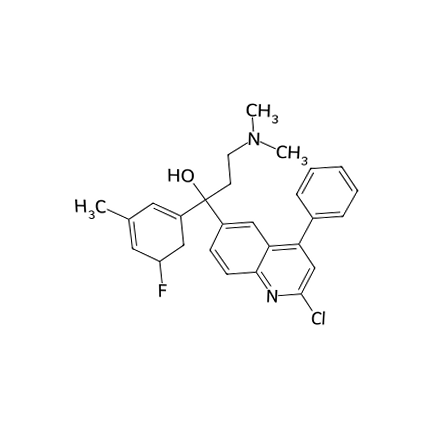 CC1=CC(F)CC(C(O)(CCN(C)C)c2ccc3nc(Cl)cc(-c4ccccc4)c3c2)=C1